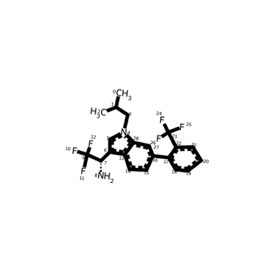 CC(C)Cn1cc([C@H](N)C(F)(F)F)c2ccc(-c3ccccc3C(F)(F)F)cc21